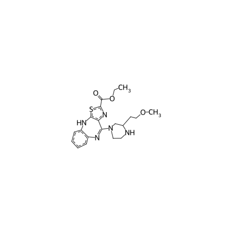 CCOC(=O)c1nc2c(s1)Nc1ccccc1N=C2N1CCNC(CCOC)C1